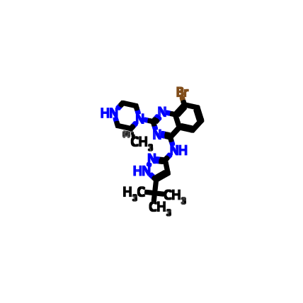 C[C@@H]1CNCCN1c1nc(Nc2cc(C(C)(C)C)[nH]n2)c2cccc(Br)c2n1